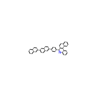 c1ccc2cc(-c3ccc4cc(-c5ccc(-c6nc7ccccc7c7c6ccc6ccccc67)cc5)ccc4c3)ccc2c1